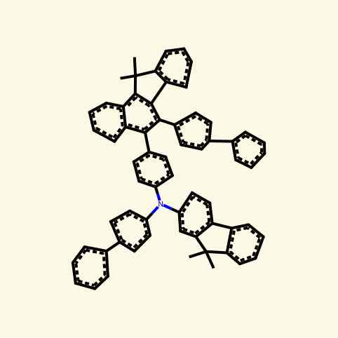 CC1(C)c2ccccc2-c2ccc(N(c3ccc(-c4ccccc4)cc3)c3ccc(-c4c(-c5ccc(-c6ccccc6)cc5)c5c(c6ccccc46)C(C)(C)c4ccccc4-5)cc3)cc21